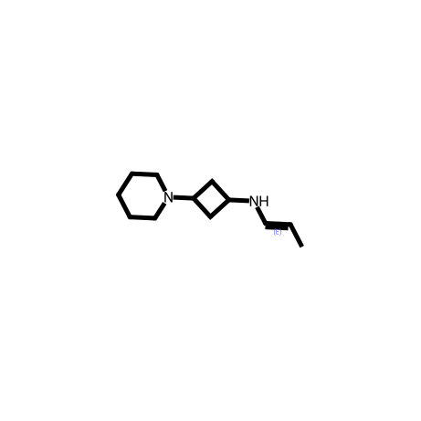 C/C=C/NC1CC(N2CCCCC2)C1